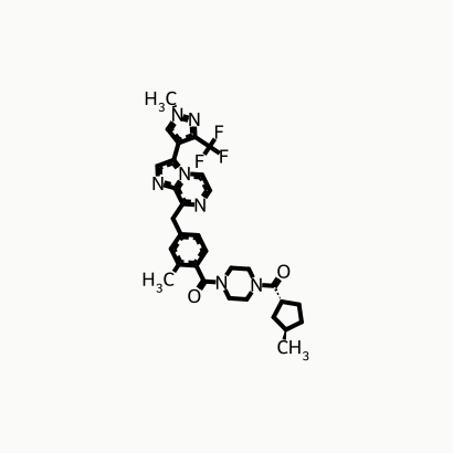 Cc1cc(Cc2nccn3c(-c4cn(C)nc4C(F)(F)F)cnc23)ccc1C(=O)N1CCN(C(=O)[C@@H]2CC[C@@H](C)C2)CC1